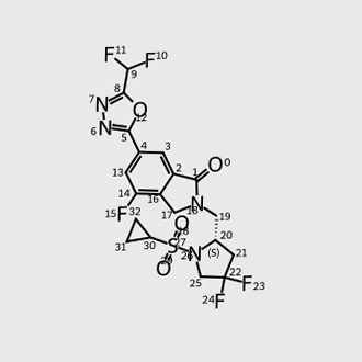 O=C1c2cc(-c3nnc(C(F)F)o3)cc(F)c2CN1C[C@@H]1CC(F)(F)CN1S(=O)(=O)C1CC1